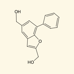 OCc1cc(-c2ccccc2)c2oc(CO)cc2c1